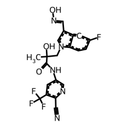 CC(O)(Cn1cc(C=NO)c2cc(F)ccc21)C(=O)Nc1cnc(C#N)c(C(F)(F)F)c1